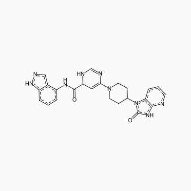 O=C(Nc1cccc2[nH]ncc12)C1C=C(N2CCC(n3c(=O)[nH]c4ncccc43)CC2)N=CN1